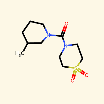 CC1CCCN(C(=O)N2CCS(=O)(=O)CC2)C1